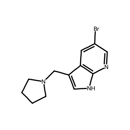 Brc1cnc2[nH]cc(CN3CCCC3)c2c1